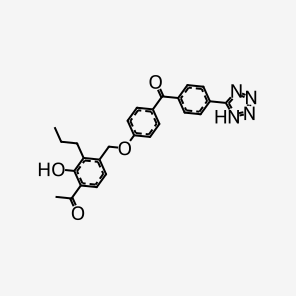 CCCc1c(COc2ccc(C(=O)c3ccc(-c4nnn[nH]4)cc3)cc2)ccc(C(C)=O)c1O